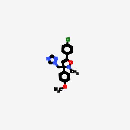 COc1ccc(C2(Cn3cncn3)C=C(c3ccc(Cl)cc3)ON2C)cc1